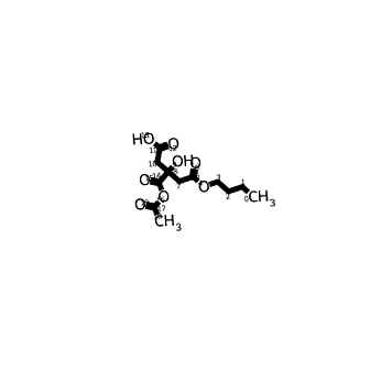 CCCCOC(=O)CC(O)(CC(=O)O)C(=O)OC(C)=O